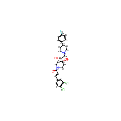 O=C(/C=C/c1ccc(Cl)c(Cl)c1)N1CCC(O)(C(O)CN2CCC(c3ccc(F)cc3)CC2)CC1